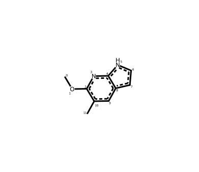 COc1nc2[nH]ccc2cc1C